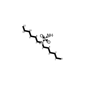 CCCCCCN(CCCCCC)S([NH])(=O)=O